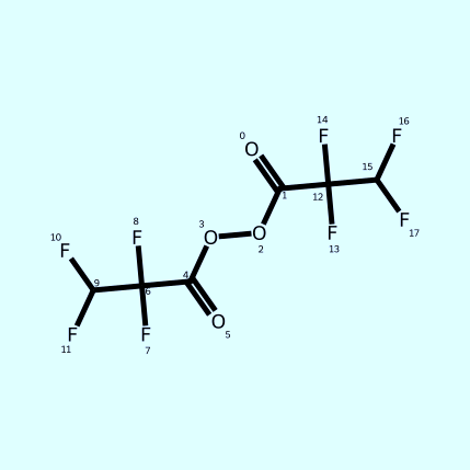 O=C(OOC(=O)C(F)(F)C(F)F)C(F)(F)C(F)F